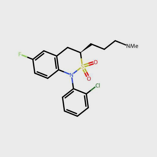 CNCCC[C@@H]1Cc2cc(F)ccc2N(c2ccccc2Cl)S1(=O)=O